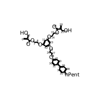 C=C(CO)C(=O)OCCOc1cc(OCCOC(=O)C(=C)CO)cc(OCCOc2ccc(-c3ccc(CCCCC)cc3)cc2)c1